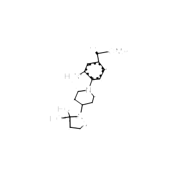 COC(=O)c1ccc(N2CCC(N3SCCC3(O)O)CC2)c(N)c1